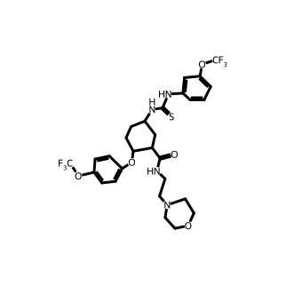 O=C(NCCN1CCOCC1)C1CC(NC(=S)Nc2cccc(OC(F)(F)F)c2)CCC1Oc1ccc(OC(F)(F)F)cc1